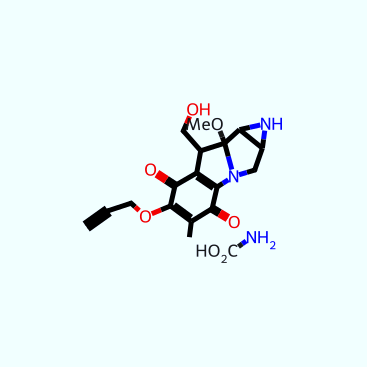 C#CCOC1=C(C)C(=O)C2=C(C1=O)C(CO)C1(OC)C3NC3CN21.NC(=O)O